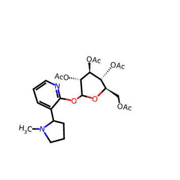 CC(=O)OC[C@H]1OC(Oc2ncccc2C2CCCN2C)[C@H](OC(C)=O)[C@@H](OC(C)=O)[C@@H]1OC(C)=O